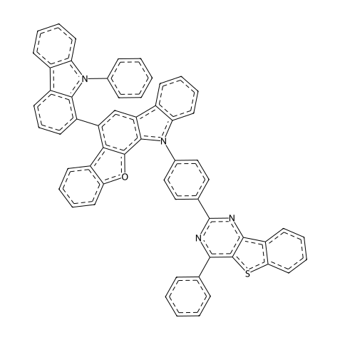 c1ccc(-c2nc(-c3ccc(-n4c5ccccc5c5cc(-c6cccc7c8ccccc8n(-c8ccccc8)c67)c6c7ccccc7oc6c54)cc3)nc3c2sc2ccccc23)cc1